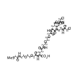 CSCC(=O)NCCOCCOCC(=O)NC(CCC(=O)NCCOCCOCC(=O)N[C@H](CCCC(=O)O)C(=O)N(CCNC(=O)CCl)CCNC(=O)CCl)C(=O)O